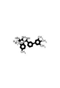 CCCCC(C)(C)C(=N)N(C(=N)c1cccc(-c2cc(C)c(C)c(C)c2)c1)c1ccc(C)cc1C